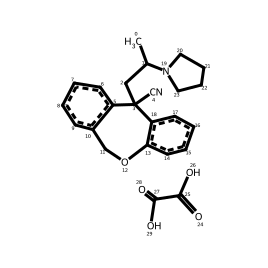 CC(CC1(C#N)c2ccccc2COc2ccccc21)N1CCCC1.O=C(O)C(=O)O